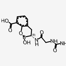 NC(=O)NCC(=O)N[C@H]1Cc2cccc(C(=O)O)c2OB1O